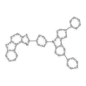 c1ccc(-c2ccc3c(c2)c2cc(-c4ccccc4)ccc2n3-c2ccc(-c3nc4c(ccc5sc6ccccc6c54)s3)cc2)cc1